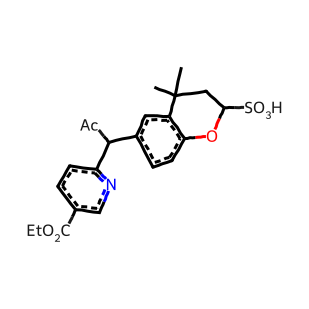 CCOC(=O)c1ccc(C(C(C)=O)c2ccc3c(c2)C(C)(C)CC(S(=O)(=O)O)O3)nc1